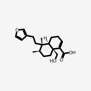 C[C@@H]1CC[C@@]2(CO)C(C(=O)O)=CCC[C@@H]2[C@@]1(C)CCc1ccoc1